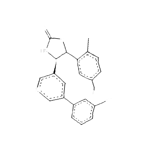 O=C1N[C@H](c2cncc(-c3cccc(C(F)(F)F)c3)c2)C(c2cc(F)ccc2F)O1